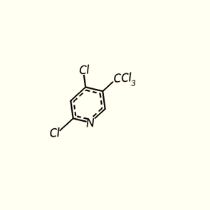 Clc1cc(Cl)c(C(Cl)(Cl)Cl)cn1